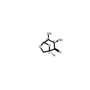 O=C1[C@H]2COC(O2)[C@@H](O)[C@H]1O